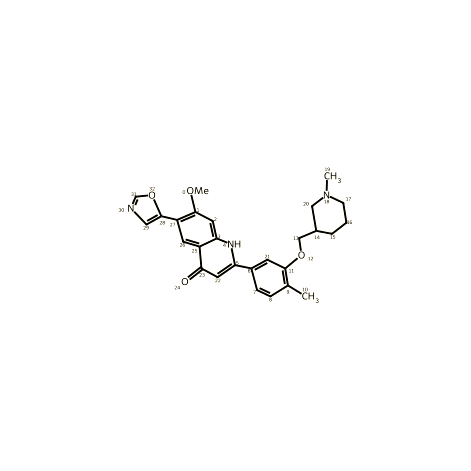 COc1cc2[nH]c(-c3ccc(C)c(OCC4CCCN(C)C4)c3)cc(=O)c2cc1-c1cnco1